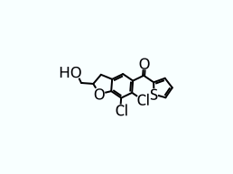 O=C(c1cccs1)c1cc2c(c(Cl)c1Cl)OC(CO)C2